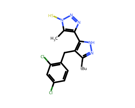 Cc1c(-c2[nH]nc(C(C)(C)C)c2Cc2ccc(Cl)cc2Cl)nnn1S